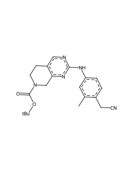 Cc1cc(Nc2ncc3c(n2)CN(C(=O)OC(C)(C)C)CC3)ccc1CC#N